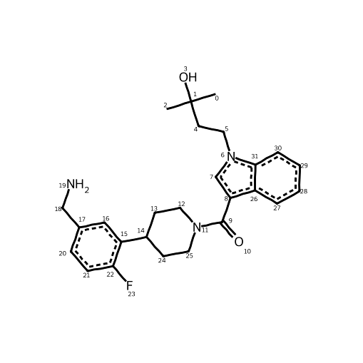 CC(C)(O)CCn1cc(C(=O)N2CCC(c3cc(CN)ccc3F)CC2)c2ccccc21